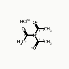 CC(=O)N(C(C)=O)C(C)=O.Cl